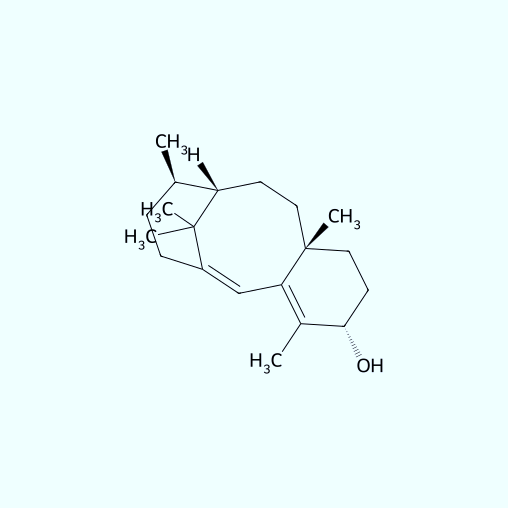 CC1=C2/C=C3/CC[C@@H](C)[C@H](CC[C@]2(C)CC[C@@H]1O)C3(C)C